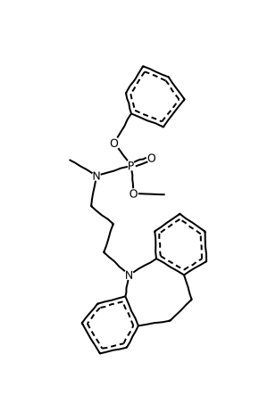 COP(=O)(Oc1ccccc1)N(C)CCCN1c2ccccc2CCc2ccccc21